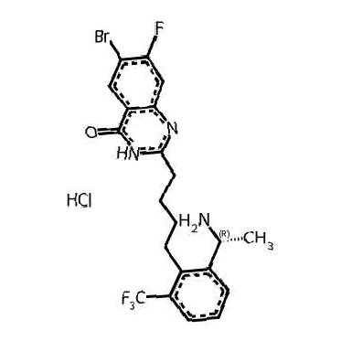 C[C@@H](N)c1cccc(C(F)(F)F)c1CCCCc1nc2cc(F)c(Br)cc2c(=O)[nH]1.Cl